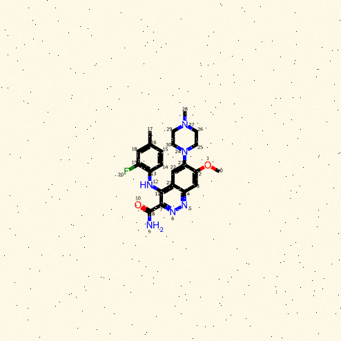 COc1cc2nnc(C(N)=O)c(Nc3ccc(C)cc3F)c2cc1N1CCN(C)CC1